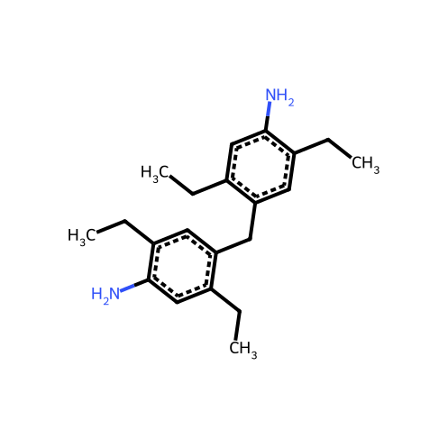 CCc1cc(Cc2cc(CC)c(N)cc2CC)c(CC)cc1N